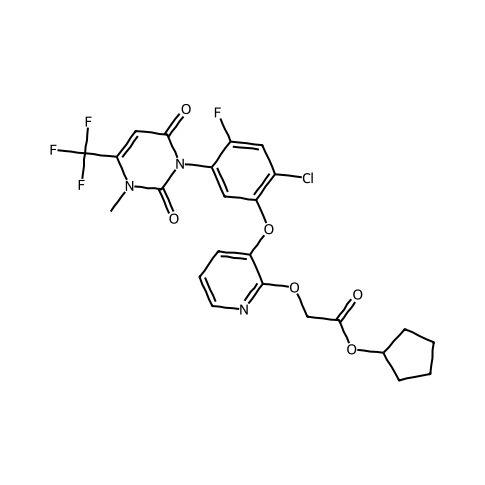 Cn1c(C(F)(F)F)cc(=O)n(-c2cc(Oc3cccnc3OCC(=O)OC3CCCC3)c(Cl)cc2F)c1=O